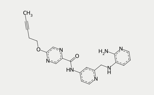 CC#CCCOc1cnc(C(=O)Nc2ccnc(CNc3cccnc3N)c2)cn1